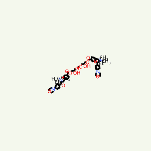 CCC(Cc1ccc(C(=O)OCC(O)COCOCC(O)COC(=O)c2ccc(CC(CC)(C(=O)c3ccc(N4CCOCC4)cc3)N(C)C)cc2)cc1)(C(=O)c1ccc(N2CCOCC2)cc1)N(C)C